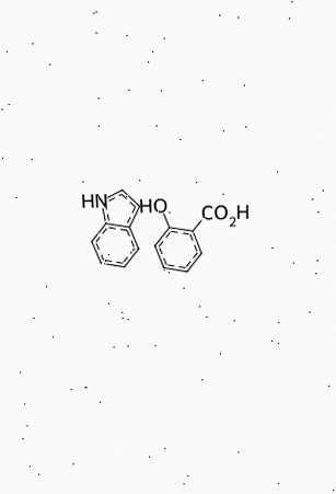 O=C(O)c1ccccc1O.c1ccc2[nH]ccc2c1